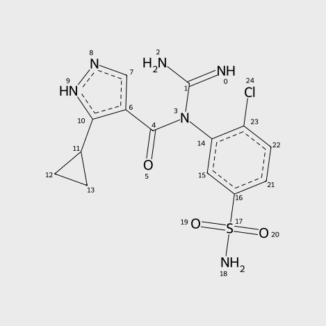 N=C(N)N(C(=O)c1cn[nH]c1C1CC1)c1cc(S(N)(=O)=O)ccc1Cl